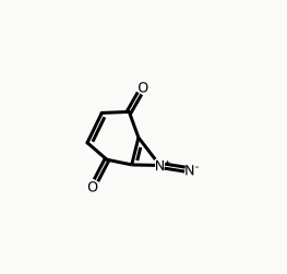 [N-]=[N+]1C2=C1C(=O)C=CC2=O